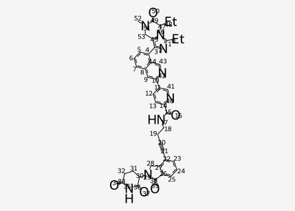 CCc1nc(-c2cccc3cc(-c4ccc(C(=O)NCCC#Cc5cccc6c5CN(C5CCC(=O)NC5=O)C6=O)nc4)ncc23)c2n1C(CC)C(=O)N(C)C2